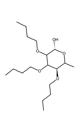 CCCCOC1C(OCCCC)[C@H](O)OC(C)[C@H]1OCCCC